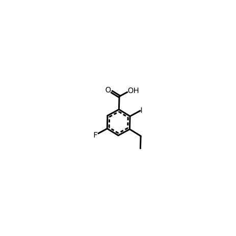 CCc1cc(F)cc(C(=O)O)c1I